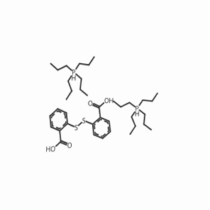 CCC[PH](CCC)(CCC)CCC.CCC[PH](CCC)(CCC)CCC.O=C(O)c1ccccc1SSc1ccccc1C(=O)O